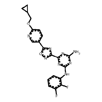 Nc1nc(Nc2cccc(F)c2F)nc(-c2noc(-c3ccc(OCC4CC4)nc3)n2)n1